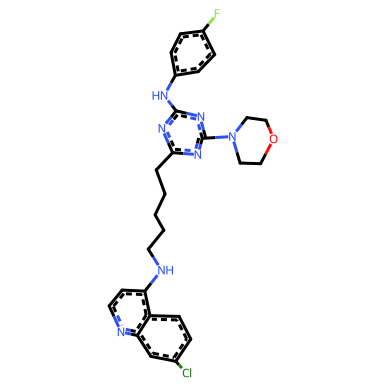 Fc1ccc(Nc2nc(CCCCCNc3ccnc4cc(Cl)ccc34)nc(N3CCOCC3)n2)cc1